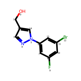 OCc1cnn(-c2cc(F)cc(Br)c2)c1